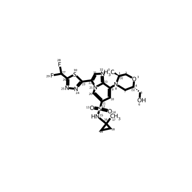 C[C@H]1CO[C@H](CO)CN1c1cc(S(=O)(=O)NC2(C)CC2)cn2c(-c3nnc(C(F)F)s3)cnc12